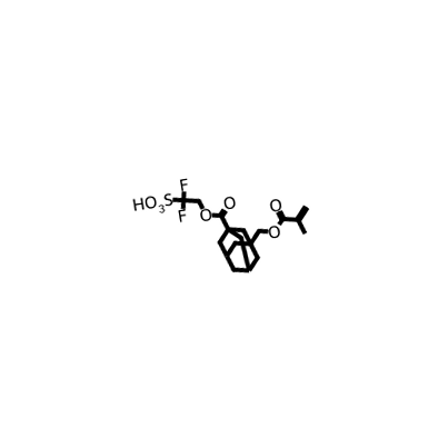 C=C(C)C(=O)OCC12CC3CC(C1)CC(C(=O)OCC(F)(F)S(=O)(=O)O)(C3)C2